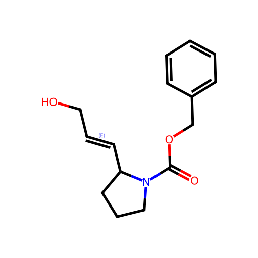 O=C(OCc1ccccc1)N1CCCC1/C=C/CO